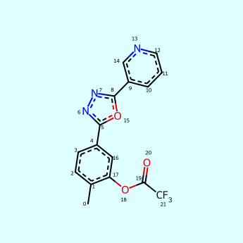 Cc1ccc(-c2nnc(-c3cccnc3)o2)cc1OC(=O)C(F)(F)F